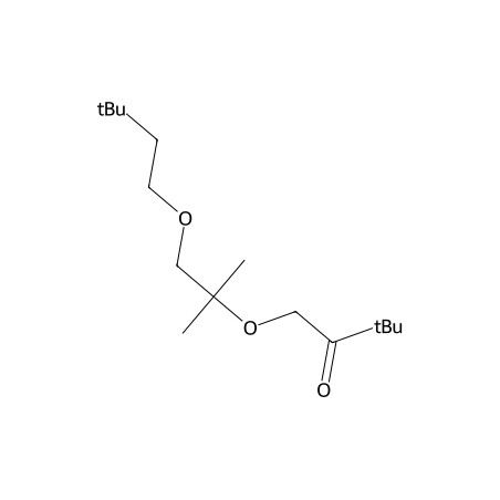 CC(C)(C)CCOCC(C)(C)OCC(=O)C(C)(C)C